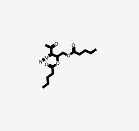 CCCCC(=O)OCC(OC(=O)CCCC)C(=[N+]=[N-])C(C)=O